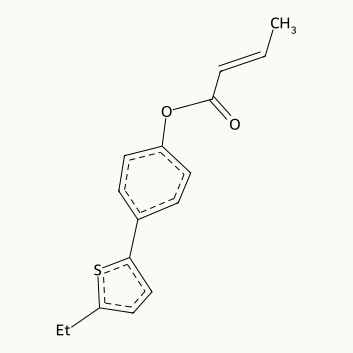 CC=CC(=O)Oc1ccc(-c2ccc(CC)s2)cc1